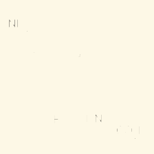 NCc1ccc(CNC(=O)O)c(F)c1